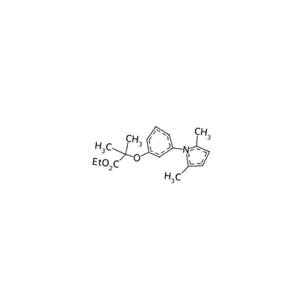 CCOC(=O)C(C)(C)Oc1cccc(-n2c(C)ccc2C)c1